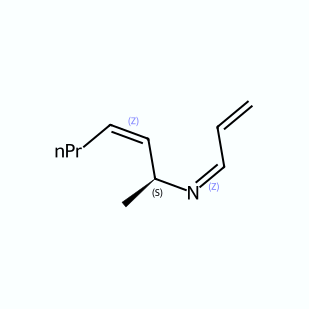 C=C/C=N\[C@@H](C)/C=C\CCC